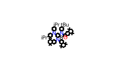 CC(C)c1ccc(N(c2ccc(C(C)C)cc2)c2cc3c4c(c2)N(c2ccc(C(C)(C)C)cc2)c2c(oc5cc6c(cc25)C(C)(C)CCC6(C)C)B4c2cc4c(cc2N3c2ccc3c(c2)C(C)(C)CCC3(C)C)C(C)(C)CCC4(C)C)cc1